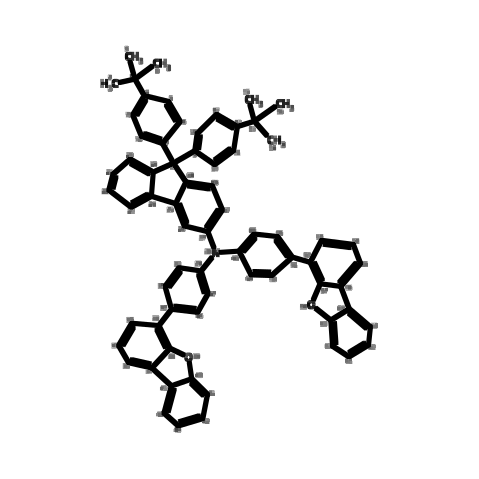 CC(C)(C)c1ccc(C2(c3ccc(C(C)(C)C)cc3)c3ccccc3-c3cc(N(c4ccc(-c5cccc6c5oc5ccccc56)cc4)c4ccc(-c5cccc6c5oc5ccccc56)cc4)ccc32)cc1